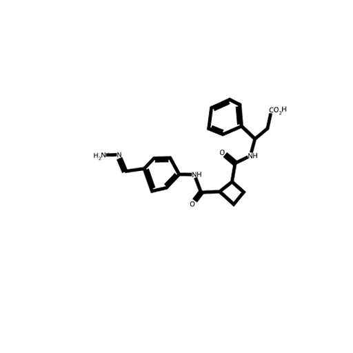 NN=Cc1ccc(NC(=O)C2CCC2C(=O)NC(CC(=O)O)c2ccccc2)cc1